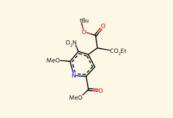 CCOC(=O)C(C(=O)OC(C)(C)C)c1cc(C(=O)OC)nc(OC)c1[N+](=O)[O-]